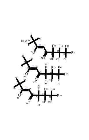 CC(C)(C)/C([O-])=C/C(=O)C(F)(F)C(F)(F)C(F)(F)F.CC(C)(C)/C([O-])=C/C(=O)C(F)(F)C(F)(F)C(F)(F)F.CC(C)(C)/C([O-])=C/C(=O)C(F)(F)C(F)(F)C(F)(F)F.[La+3]